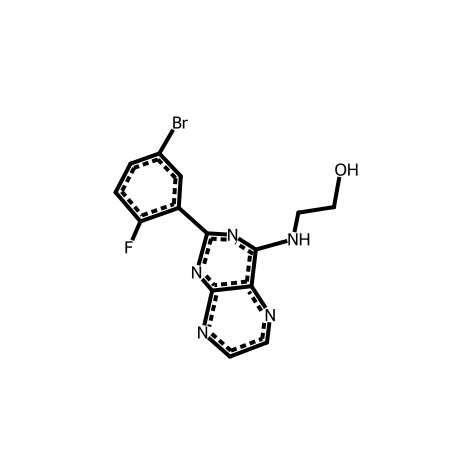 OCCNc1nc(-c2cc(Br)ccc2F)nc2nccnc12